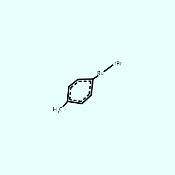 CC[CH2][Ru][c]1ccc(C)cc1